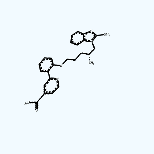 C[C@H](CCCOc1ccccc1-c1cc(C(=O)O)ccn1)Cn1c(N)nc2ccccc21